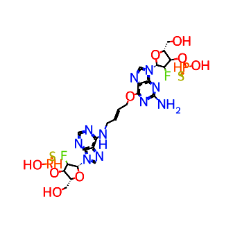 Nc1nc(OC/C=C/CNc2ncnc3c2ncn3[C@@H]2O[C@H](CO)[C@@H](O[PH](O)=S)[C@H]2F)c2ncn([C@@H]3O[C@H](CO)[C@@H](O[PH](O)=S)[C@H]3F)c2n1